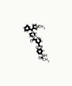 CC(=O)Nc1ccc2oc(-c3ccnc(C(=O)N4CCN(C(c5ccccc5)C5CCN(C)C5)CC4)c3)nc2c1